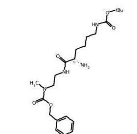 CN(CCNC(=O)[C@@H](N)CCCCNC(=O)OC(C)(C)C)C(=O)OCc1ccccc1